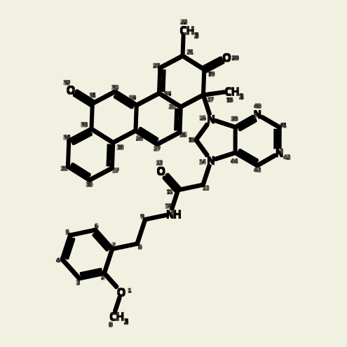 COc1ccccc1CCNC(=O)CN1CN(C2(C)C(=O)C(C)C=c3c2ccc2c3=CC(=O)c3ccccc3-2)c2ncncc21